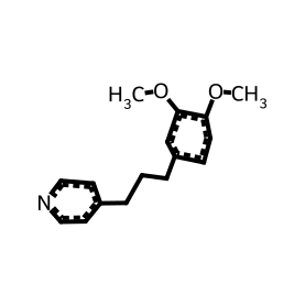 COc1ccc(CCCc2ccncc2)cc1OC